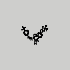 C[C@@H](NC(=O)[C@@H]1C[C@H]1c1ccc(C(C)(C)C)cc1)c1ccc(OCC(F)(F)F)cn1